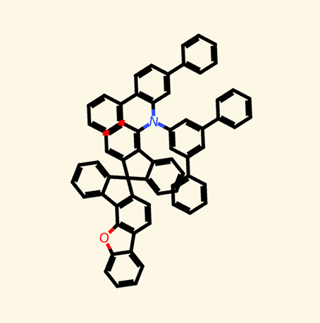 c1ccc(-c2cc(-c3ccccc3)cc(N(c3cc(-c4ccccc4)ccc3-c3ccccc3)c3cccc4c3-c3ccccc3C43c4ccccc4-c4c3ccc3c4oc4ccccc43)c2)cc1